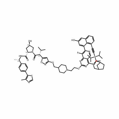 Cc1ncsc1-c1ccc([C@H](C)NC(=O)[C@@H]2C[C@@H](O)CN2C(=O)[C@@H](c2cc(OCC3CCN(CCOc4nc(N5CC6CCC(C6)C5)c5cnc(-c6cc(O)cc7cccc(C#C[Si](C(C)C)(C(C)C)C(C)C)c67)c(F)c5n4)CC3)no2)C(C)C)cc1